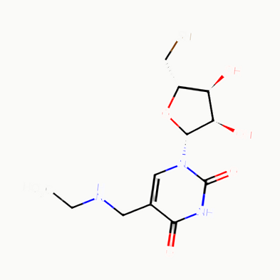 O=C(O)CNCc1cn([C@@H]2O[C@H](CS)[C@@H](O)[C@H]2O)c(=O)[nH]c1=O